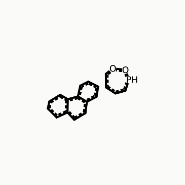 c1cc[pH]ooc1.c1ccc2c(c1)ccc1ccccc12